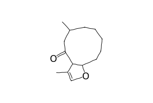 CC1=COC2CCCCCC(C)CC(=O)C12